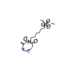 C=C1/C=C\C=C/CC(=O)N(CCCCCCP(=O)(OCC)OCC)C1=O